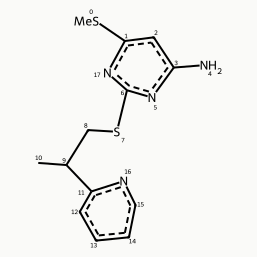 CSc1cc(N)nc(SCC(C)c2ccccn2)n1